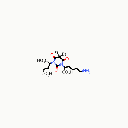 CCC1(CC)C(=O)N([C@@H](CCCCN)C(=O)O)C(=O)N([C@@H](CCC(=O)O)C(=O)O)C1=O